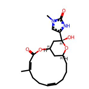 CC1=CC(=O)O[C@@H]2C[C@@H](CCCC=CCC1)O[C@@](O)(c1cn(C)c(=O)[nH]1)C2